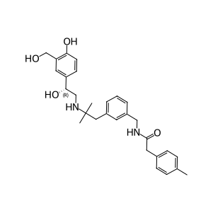 Cc1ccc(CC(=O)NCc2cccc(CC(C)(C)NC[C@H](O)c3ccc(O)c(CO)c3)c2)cc1